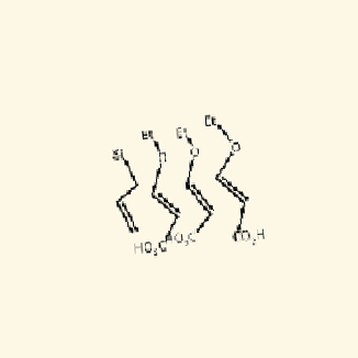 C=CC[Si].CCOC=CC(=O)O.CCOC=CC(=O)O.CCOC=CC(=O)O